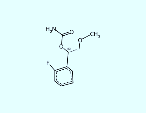 COC[C@@H](OC(N)=O)c1ccccc1F